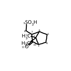 CC1(C)C2CCC1C(CS(=O)(=O)O)C2=O